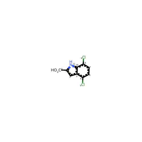 O=C(O)c1cc2c(Cl)ccc(Cl)c2[nH]1